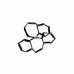 C1=Cc2ccccc2[Si]2(c3ccccc31)c1ccccc1C=Cc1ccccc12